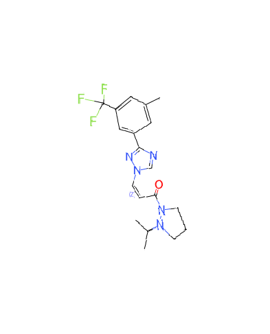 Cc1cc(-c2ncn(/C=C\C(=O)N3CCCN3C(C)C)n2)cc(C(F)(F)F)c1